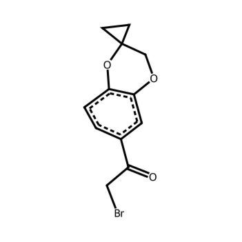 O=C(CBr)c1ccc2c(c1)OCC1(CC1)O2